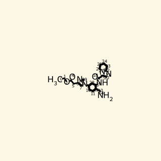 CCOC(=O)Cc1cn(-c2ccc(CN)c(NC(=O)c3cnc4ccccn34)c2)cn1